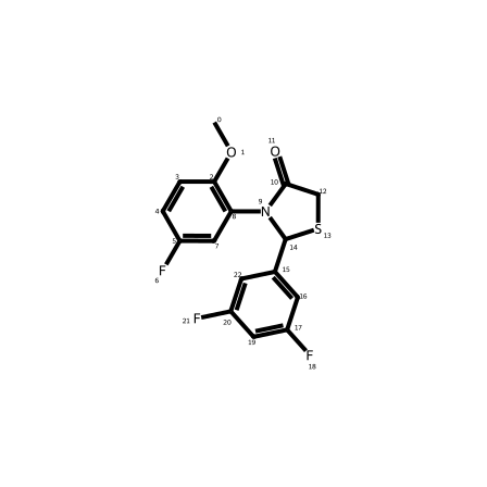 COc1ccc(F)cc1N1C(=O)CSC1c1cc(F)cc(F)c1